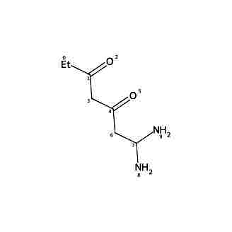 CCC(=O)CC(=O)CC(N)N